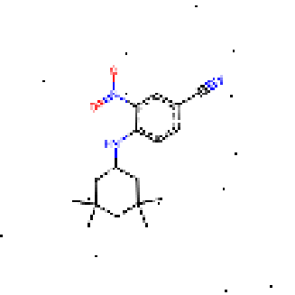 CC1(C)CC(Nc2ccc(C#N)cc2[N+](=O)[O-])CC(C)(C)C1